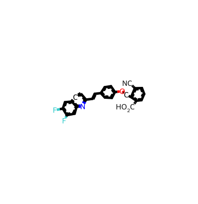 N#Cc1cccc(C(=O)O)c1COc1ccc(/C=C/c2ccc3cc(F)c(F)cc3n2)cc1